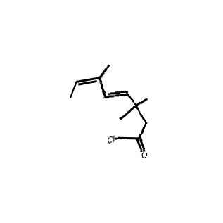 CC=C(C)C=CC(C)(C)CC(=O)Cl